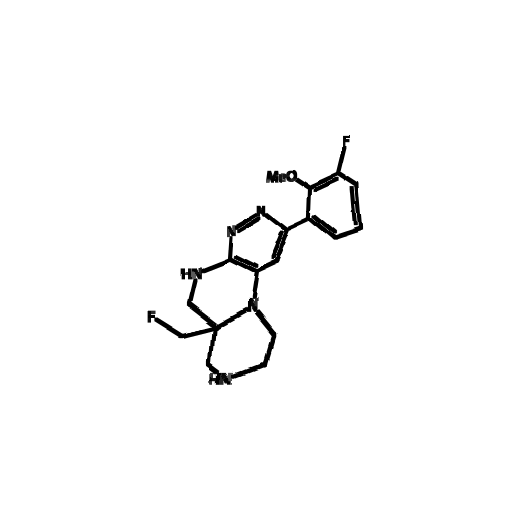 COc1c(F)cccc1-c1cc2c(nn1)NCC1(CF)CNCCN21